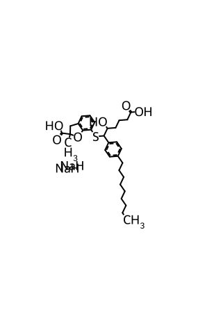 CCCCCCCCCc1ccc(C(Sc2cccc3c2OC(C)(C(=O)O)C3)C(O)CCCC(=O)O)cc1.[NaH].[NaH]